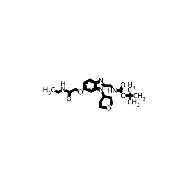 CCNC(=O)COc1ccc2nc(CNC(=O)OC(C)(C)C)n(C3CCOCC3)c2c1